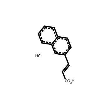 Cl.O=C(O)C=Cc1ccc2ccccc2c1